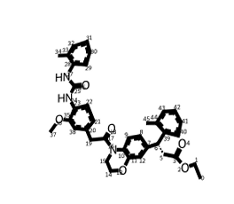 CCOC(=O)C[C@H](c1ccc2c(c1)OCCN2C(=O)Cc1ccc(NC(=O)Nc2ccccc2C)c(OC)c1)c1ccccc1C